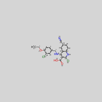 CCOc1ccc(CNc2c(C(=O)O)c(Cl)nc3ccc(C#N)cc23)cc1Cl